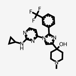 CN1CCC(O)(c2cn(-c3ccnc(NC4CC4)n3)c(-c3cccc(C(F)(F)F)c3)n2)CC1